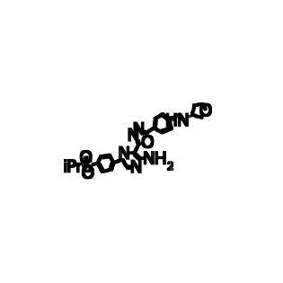 CC(C)S(=O)(=O)c1ccc(-c2cnc(N)c(-c3nnc(-c4ccc(CN[C@@H]5CCOC5)cc4)o3)n2)cc1